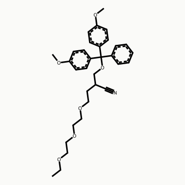 CCOCCOCCOCCC(C#N)COC(c1ccccc1)(c1ccc(OC)cc1)c1ccc(OC)cc1